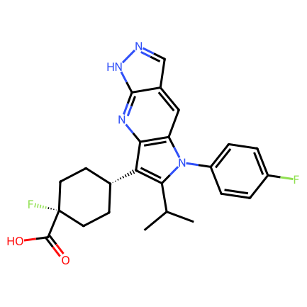 CC(C)c1c([C@H]2CC[C@](F)(C(=O)O)CC2)c2nc3[nH]ncc3cc2n1-c1ccc(F)cc1